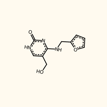 O=c1nc(NCc2ccco2)c(CO)c[nH]1